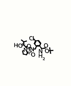 CC(C)[C@@H](O)C(=O)N1CCC[C@H]1C(=O)NCc1cc(Cl)ccc1C(N)C(=O)OC(C)(C)C